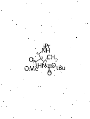 COC(=O)C(CNC(C)C)C(C)NC(=O)OC(C)(C)C